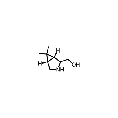 CC1(C)[C@@H]2C(CO)NC[C@@H]21